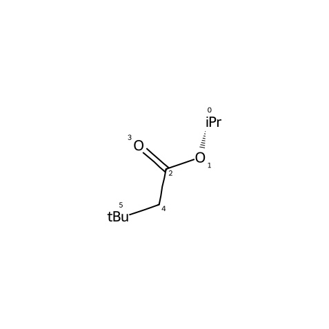 [CH2][C@@H](C)OC(=O)CC(C)(C)C